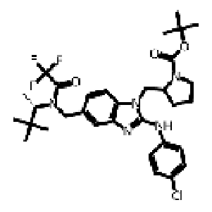 C[C@H](N(Cc1ccc2c(c1)nc(Nc1ccc(Cl)cc1)n2CC1CCCN1C(=O)OC(C)(C)C)C(=O)C(F)(F)F)C(C)(C)C